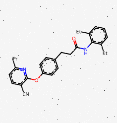 CCc1cccc(CC)c1NC(=O)CCc1ccc(Oc2nc(C(C)C)ccc2C#N)cc1